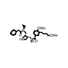 COCCCCc1cc(C(=O)N(C[C@@H]2CNC[C@H]2CN(C(=O)Cc2ccccc2)C2CC2)C(C)C)ccc1OC